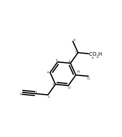 C#CCc1ccc(C(C)C(=O)O)c(C)c1